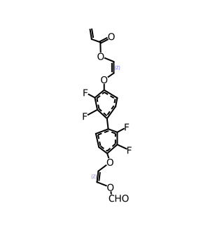 C=CC(=O)O/C=C\Oc1ccc(-c2ccc(O/C=C\OC=O)c(F)c2F)c(F)c1F